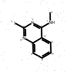 CNc1nc(I)nc2ccccc12